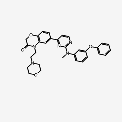 CN(c1cccc(Oc2ccccc2)c1)c1nccc(-c2ccc3c(c2)N(CCN2CCOCC2)C(=O)CO3)n1